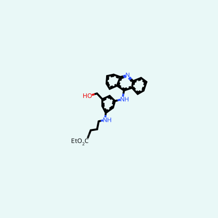 CCOC(=O)CCCNc1cc(CO)cc(Nc2c3ccccc3nc3ccccc23)c1